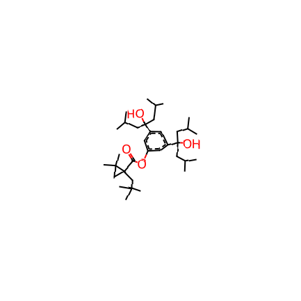 CC(C)CC(O)(CC(C)C)c1cc(OC(=O)C2(CC(C)(C)C)CC2(C)C)cc(C(O)(CC(C)C)CC(C)C)c1